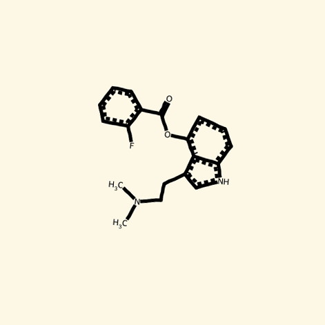 CN(C)CCc1c[nH]c2cccc(OC(=O)c3ccccc3F)c12